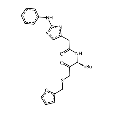 CCCC[C@H](NC(=O)Cc1csc(Nc2ccccc2)n1)C(=O)CSCc1ccco1